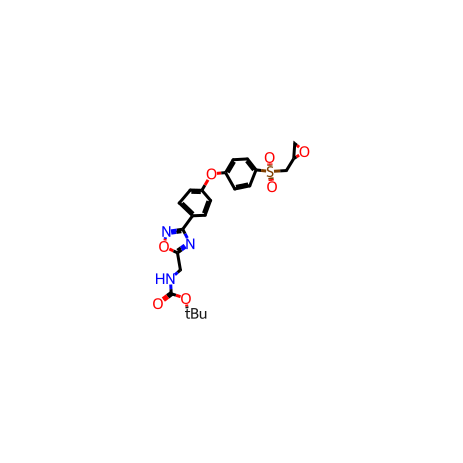 CC(C)(C)OC(=O)NCc1nc(-c2ccc(Oc3ccc(S(=O)(=O)CC4CO4)cc3)cc2)no1